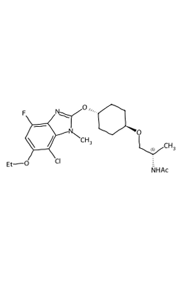 CCOc1cc(F)c2nc(O[C@H]3CC[C@H](OC[C@H](C)NC(C)=O)CC3)n(C)c2c1Cl